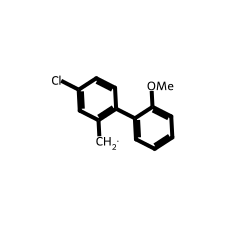 [CH2]c1cc(Cl)ccc1-c1ccccc1OC